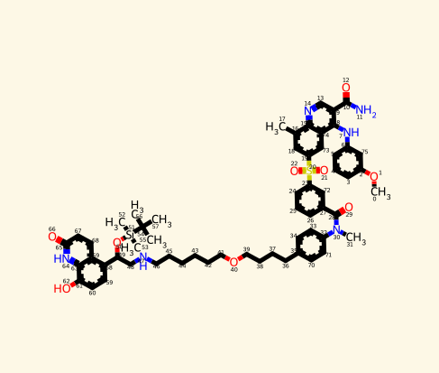 COc1cccc(Nc2c(C(N)=O)cnc3c(C)cc(S(=O)(=O)c4cccc(C(=O)N(C)c5ccc(CCCCOCCCCCCNCC(O[Si](C)(C)C(C)(C)C)c6ccc(O)c7[nH]c(=O)ccc67)cc5)c4)cc23)c1